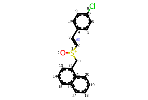 [O-][S+](/C=C/c1ccc(Cl)cc1)Cc1cccc2ccccc12